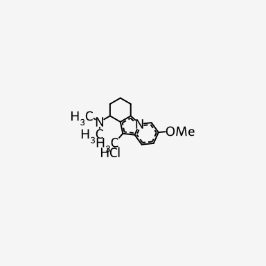 COc1ccc2c(C)c3c(n2c1)CCCC3N(C)C.Cl